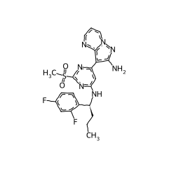 CCC[C@H](Nc1cc(-c2c(N)nn3cccnc23)nc(S(C)(=O)=O)n1)c1ccc(F)cc1F